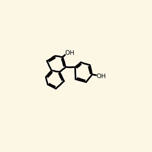 Oc1ccc(-c2c(O)ccc3ccccc23)cc1